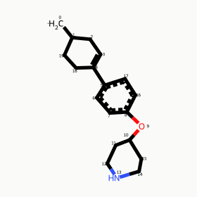 [CH2]C1CC=C(c2ccc(OC3CCNCC3)cc2)CC1